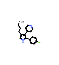 CNCCCc1c[nH]c(-c2ccc(F)cc2)c1-c1ccncc1